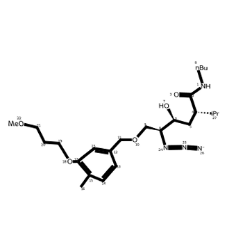 CCCCNC(=O)[C@@H](C[C@H](O)[C@H](COCc1ccc(C)c(OCCCOC)c1)N=[N+]=[N-])C(C)C